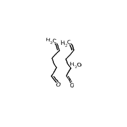 C=CCCC=O.C=CCCC=O.O